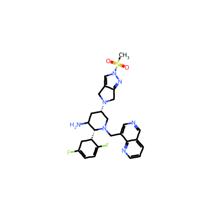 CS(=O)(=O)n1cc2c(n1)CN([C@H]1CC(N)[C@@H](C3CC(F)=CC=C3F)N(Cc3cncc4cccnc34)C1)C2